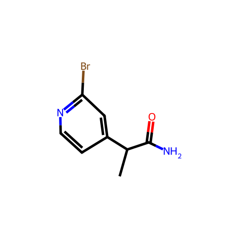 CC(C(N)=O)c1ccnc(Br)c1